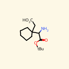 CC(C)(C)OC(=O)C(N)C1(CC(=O)O)CCCCC1